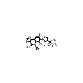 C=C1c2ncoc2-c2cc(F)c(N3CCC(C(C)(C)N)C3)c(C)c2N1C1CC1